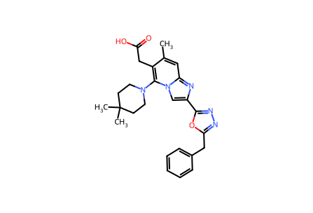 Cc1cc2nc(-c3nnc(Cc4ccccc4)o3)cn2c(N2CCC(C)(C)CC2)c1CC(=O)O